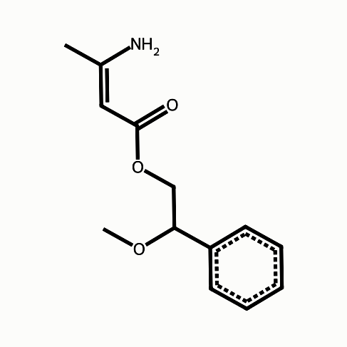 COC(COC(=O)C=C(C)N)c1ccccc1